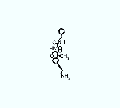 CN1C(=O)[C@@H](NC(=O)C(=O)NCCc2ccccc2)COc2ccc(C#CCCN)cc21